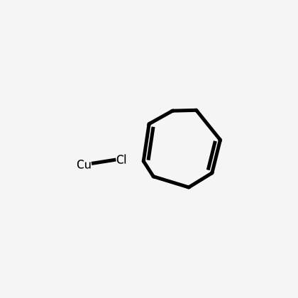 C1=CCCC=CCC1.[Cl][Cu]